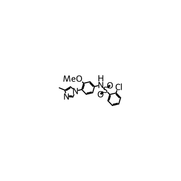 COc1cc(NS(=O)(=O)c2ccccc2Cl)ccc1-n1cnc(C)c1